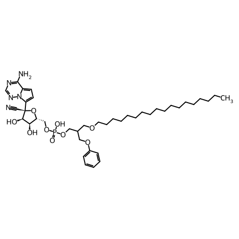 CCCCCCCCCCCCCCCCCCOCC(COc1ccccc1)COP(=O)(O)OC[C@H]1O[C@@](C#N)(c2ccc3c(N)ncnn23)[C@H](O)[C@@H]1O